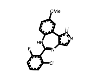 COc1ccc2c(c1)-c1[nH]ncc1N=C(c1c(F)cccc1Cl)N2